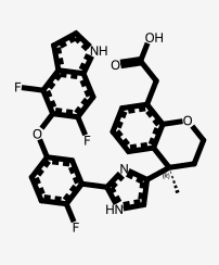 C[C@@]1(c2c[nH]c(-c3cc(Oc4c(F)cc5[nH]ccc5c4F)ccc3F)n2)CCOc2c(CC(=O)O)cccc21